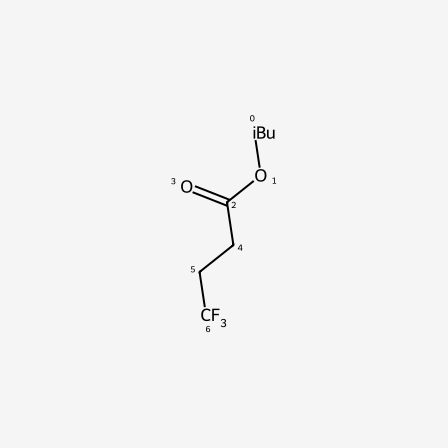 CCC(C)OC(=O)CCC(F)(F)F